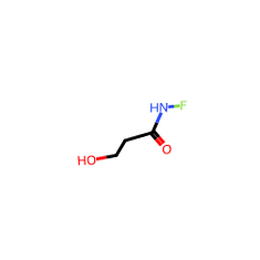 O=C(CCO)NF